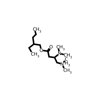 CCCC(CC)COC(=O)CC(CN(C)C)N(C)C